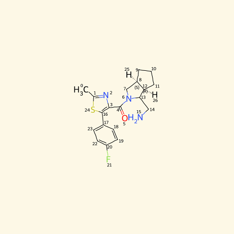 Cc1nc(C(=O)N2C[C@H]3CCC[C@H]3C2CN)c(-c2ccc(F)cc2)s1